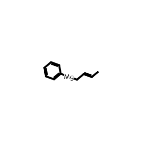 CC=C[CH2][Mg][c]1ccccc1